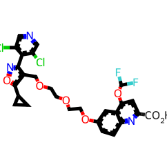 O=C(O)c1cc(OC(F)F)c2cc(OCCOCCOCc3c(-c4c(Cl)cncc4Cl)noc3C3CC3)ccc2n1